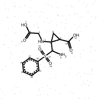 NC(C1(NCC(=O)O)CC1C(=O)O)S(=O)(=O)c1ccccc1